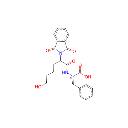 O=C(N[C@H](Cc1ccccc1)C(=O)O)C(CCCCO)N1C(=O)c2ccccc2C1=O